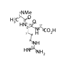 CN[C@@H](C)C(=O)N[C@@H](CCCNC(=N)N)C(=O)NCC(=O)O